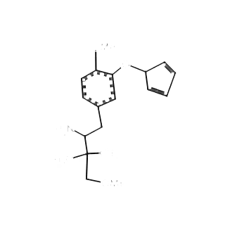 COCC(C)(C)C(N)Cc1ccc(OC)c(OC2C=CC=C2)c1